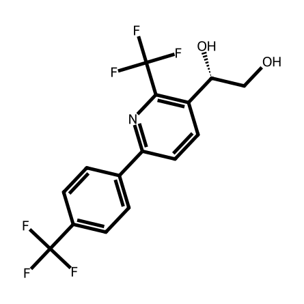 OC[C@@H](O)c1ccc(-c2ccc(C(F)(F)F)cc2)nc1C(F)(F)F